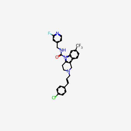 O=C(NCc1ccnc(F)c1)n1c2c(c3ccc(C(F)(F)F)cc31)CN(C/C=C/c1ccc(Cl)cc1)CC2